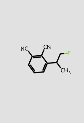 C[C](CF)c1cccc(C#N)c1C#N